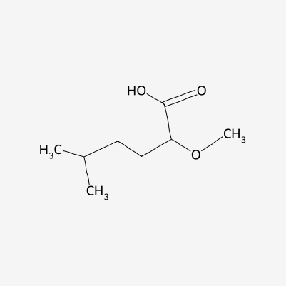 COC(CCC(C)C)C(=O)O